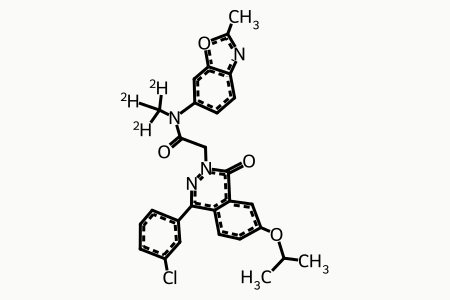 [2H]C([2H])([2H])N(C(=O)Cn1nc(-c2cccc(Cl)c2)c2ccc(OC(C)C)cc2c1=O)c1ccc2nc(C)oc2c1